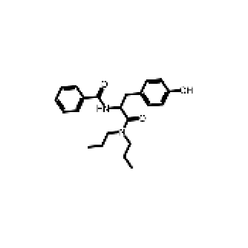 CCCN(CCC)C(=O)C(Cc1ccc(O)cc1)NC(=O)c1ccccc1